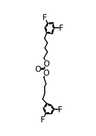 O=C(OCCCCCc1cc(F)cc(F)c1)OCCCCCc1cc(F)cc(F)c1